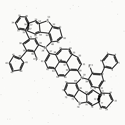 Fc1c(-c2ccccc2)cc(-c2ccccc2)cc1N(c1ccc2ccc3c(N(c4cc(-c5ccccc5)cc(-c5ccccc5)c4F)c4cccc5sc6ccccc6c45)ccc4ccc1c2c43)c1cccc2sc3ccccc3c12